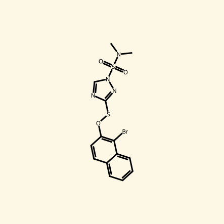 CN(C)S(=O)(=O)n1cnc(SOc2ccc3ccccc3c2Br)n1